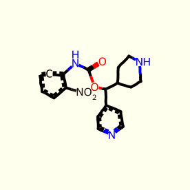 O=C(Nc1ccccc1[N+](=O)[O-])OC(c1ccncc1)C1CCNCC1